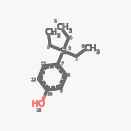 CC[Si](CC)(CC)c1ccc(O)cc1